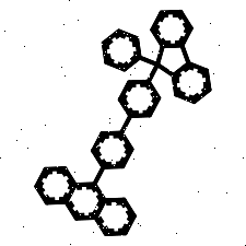 c1ccc(C2(c3ccc(-c4ccc(-c5c6ccccc6cc6ccccc56)cc4)cc3)c3ccccc3-c3ccccc32)cc1